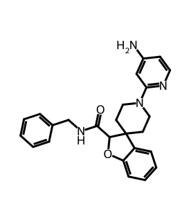 Nc1ccnc(N2CCC3(CC2)c2ccccc2OC3C(=O)NCc2ccccc2)c1